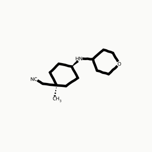 C[C@]1(CC#N)CC[C@@H](NC2CCOCC2)CC1